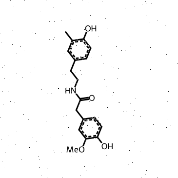 COc1cc(CC(=O)NCCc2ccc(O)c(C)c2)ccc1O